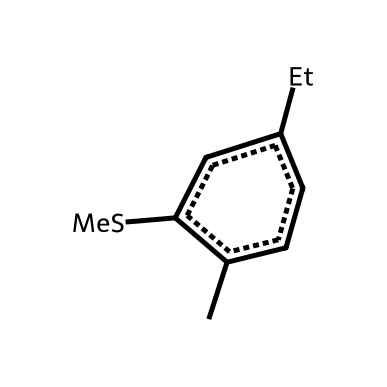 CCc1ccc(C)c(SC)c1